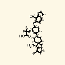 N[C@@H]1c2c(F)cnn2CC12CCN(c1cnc(Sc3ccn4ccnc4c3Cl)cn1)CC2.O=C(O)C(F)(F)F